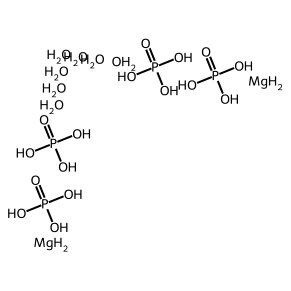 O.O.O.O.O.O.O.O=P(O)(O)O.O=P(O)(O)O.O=P(O)(O)O.O=P(O)(O)O.[MgH2].[MgH2]